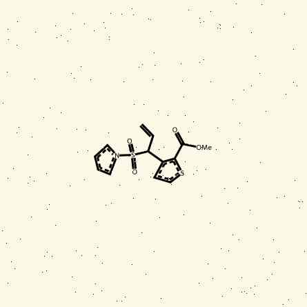 C=CC(c1ccsc1C(=O)OC)S(=O)(=O)n1cccc1